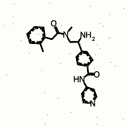 Cc1ccccc1CC(=O)N(C)CC(N)c1ccc(C(=O)Nc2ccncc2)cc1